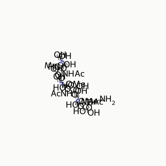 COC(OC1C(O)C(CO)OC(OCCCCCN)C1NC(C)=O)[C@@H](O)/C=C/[C@@H](CO)OC1OC(CO)C(O)C(OC(OC)[C@@H](O)/C=C/[C@@H](CO)OC2OC(CO)C(O)C(OC(OC)[C@@H](O)/C=C/[C@H](O)CO)C2NC(C)=O)C1NC(C)=O